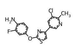 Cc1ncc(-c2csc(Oc3ccc(N)c(F)c3)n2)cc1Cl